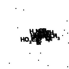 Cc1cccc2[nH]c(C(=O)C(C)(C)[C@H](N)C(=O)NC(CC(=O)O)C(=O)CBr)c(C)c12